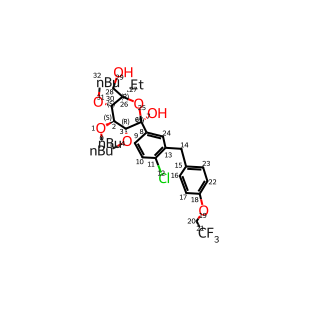 CCCCO[C@@H]1[C@@H](OCCCC)[C@](O)(c2ccc(Cl)c(Cc3ccc(OCC(F)(F)F)cc3)c2)O[C@](CC)(CO)[C@H]1OCCCC